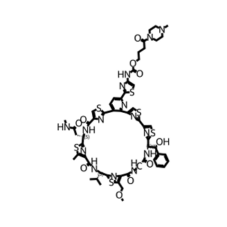 CNC(=O)C[C@@H]1NC(=O)c2csc(n2)-c2ccc(-c3nc(NC(=O)OCCCC(=O)N4CCN(C)CC4)cs3)nc2-c2csc(n2)-c2csc(n2)[C@H]([C@@H](O)c2ccccc2)NC(=O)CNC(=O)C2=C(COC)SC([C@H](C(C)C)NC(=O)c3nc1sc3C)N2C